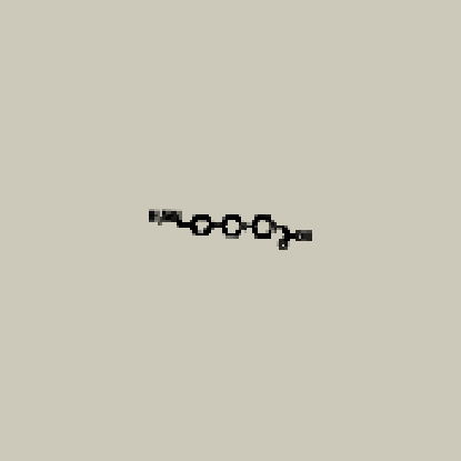 NN=Cc1ccc(C2CCN(C3CCN(CC(=O)O)CC3)CC2)cc1